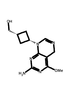 COc1nc(N)nc2c1CN=CN2[C@H]1C[C@@H](CO)C1